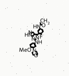 C=CC(=O)Nc1ccc(F)c(-c2nc(Nc3ccc(OC)c(N4CCOCC4)c3)nc3[nH]ncc23)c1